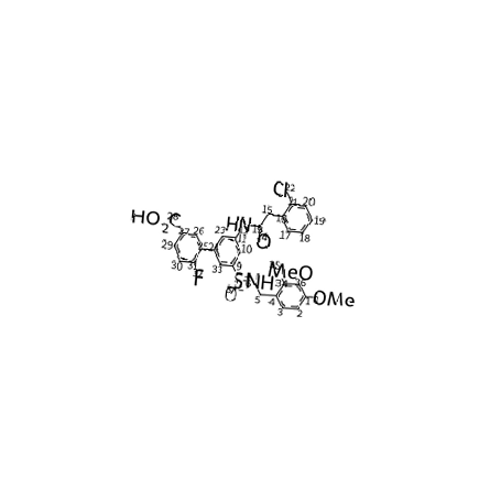 COc1ccc(CN[S+]([O-])c2cc(NC(=O)Cc3ccccc3Cl)cc(-c3cc(C(=O)O)ccc3F)c2)c(OC)c1